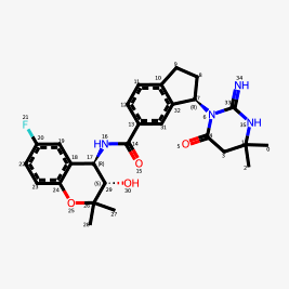 CC1(C)CC(=O)N([C@@H]2CCc3ccc(C(=O)N[C@@H]4c5cc(F)ccc5OC(C)(C)[C@H]4O)cc32)C(=N)N1